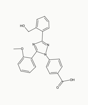 COc1ccccc1-c1nc(-c2ccccc2CO)nn1-c1ccc(C(=O)O)cc1